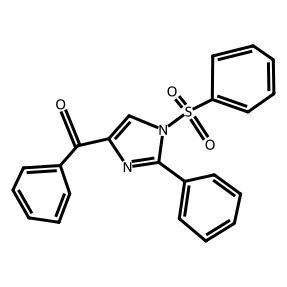 O=C(c1ccccc1)c1cn(S(=O)(=O)c2ccccc2)c(-c2ccccc2)n1